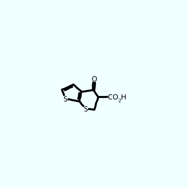 O=C(O)C1CSc2sccc2C1=O